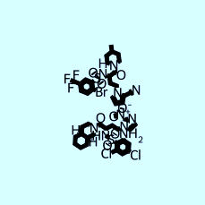 CC1CCN(C(=O)C(CCn2cccc2C#N)NS(=O)(=O)c2cc(C(F)(F)F)ccc2Br)CC1.Nc1cc(Cl)cc(Cl)c1S(=O)(=O)NC(CCn1ccnc1[N+](=O)[O-])C(=O)N1CC[C@H]2CCCC[C@@H]2C1